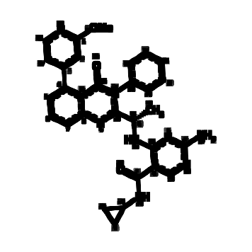 COc1cc(-c2cccc3nc([C@H](C)Nc4nc(N)ncc4C(=O)NC4CC4)n(-c4ccccc4)c(=O)c23)ccn1